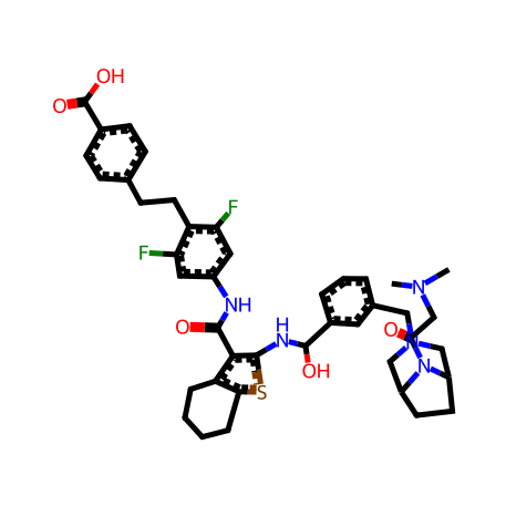 CN(C)CC(=O)N1C2CCC1CN(Cc1cccc(C(O)Nc3sc4c(c3C(=O)Nc3cc(F)c(CCc5ccc(C(=O)O)cc5)c(F)c3)CCCC4)c1)C2